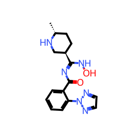 C[C@@H]1CC[C@@H](C(=NC(=O)c2ccccc2-n2nccn2)NO)CN1